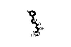 O=C(C=C(O)c1nc[nH]n1)c1ccc(-c2cccc(F)c2)o1